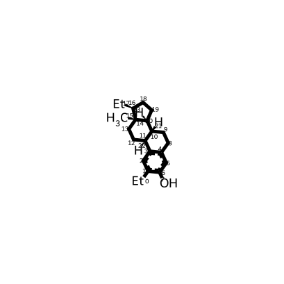 CCc1cc2c(cc1O)CC[C@@H]1[C@@H]2CC[C@]2(C)[C@@H](CC)CC[C@@H]12